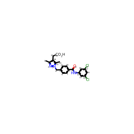 Cc1nn(Cc2ccc(C(=O)Nc3cc(Cl)cc(Cl)c3)cc2)c(C)c1CC(=O)O